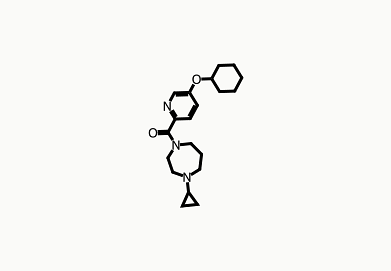 O=C(c1ccc(OC2CCCCC2)cn1)N1CCCN(C2CC2)CC1